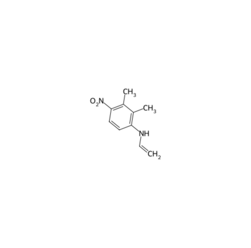 C=CNc1ccc([N+](=O)[O-])c(C)c1C